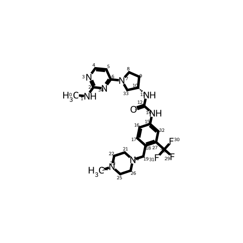 CNc1nccc(N2CC[C@H](NC(=O)Nc3ccc(CN4CCN(C)CC4)c(C(F)(F)F)c3)C2)n1